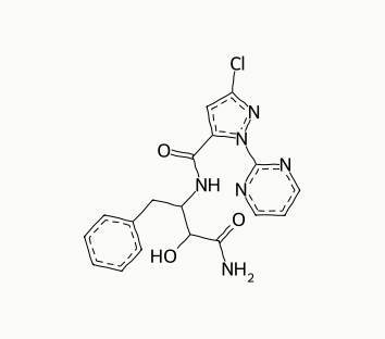 NC(=O)C(O)C(Cc1ccccc1)NC(=O)c1cc(Cl)nn1-c1ncccn1